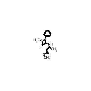 COC(=O)C=C(C)N[C@H]1C(=O)N(C)[C@H]1c1ccccc1